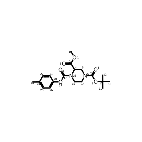 COC(=O)C1CN(C(=O)OC(C)(C)C)CCN1C(=O)Oc1ccc(C)cc1